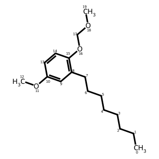 CCCCCCCCc1cc(OC)ccc1OCOC